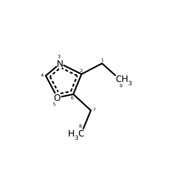 CCc1ncoc1CC